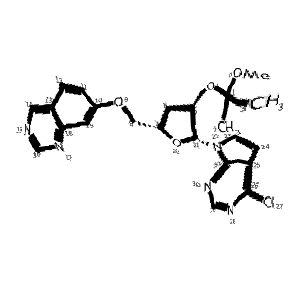 COC(C)(C)O[C@@H]1C[C@@H](COc2ccc3cncnc3c2)O[C@H]1n1ccc2c(Cl)ncnc21